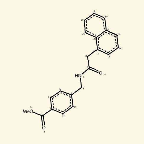 COC(=O)c1ccc(CNC(=O)Cc2cccc3ccccc23)cc1